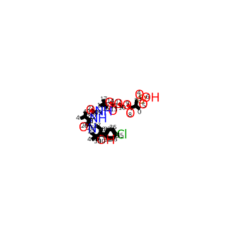 CC(CS(=O)(=O)O)C(=O)OCOC(=O)OC(C)(C)CNC(=O)N[C@@H](C(=O)N1CC[C@](O)(c2ccc(Cl)cc2)C(C)(C)C1)C(C)C